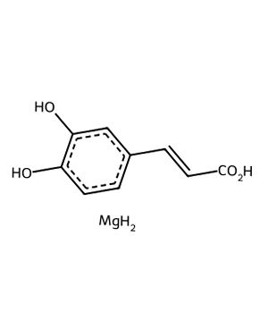 O=C(O)C=Cc1ccc(O)c(O)c1.[MgH2]